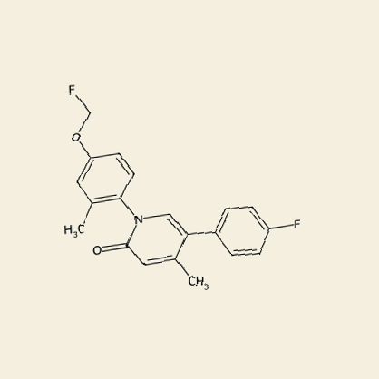 Cc1cc(=O)n(-c2ccc(OCF)cc2C)cc1-c1ccc(F)cc1